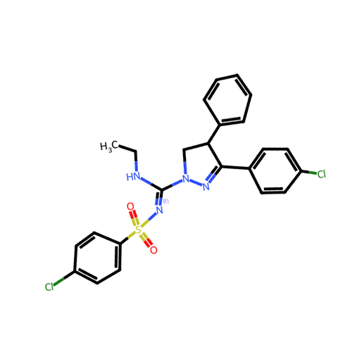 CCN/C(=N\S(=O)(=O)c1ccc(Cl)cc1)N1CC(c2ccccc2)C(c2ccc(Cl)cc2)=N1